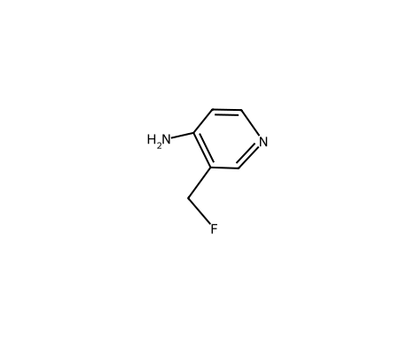 Nc1ccncc1CF